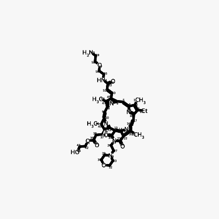 CCC1=C(C)c2cc3[nH]c(cc4nc(c5c6[nH]c(cc1n2)c(C)c6C(=O)N(CCN1CCOCC1)C5=O)[C@@H](CCC(=O)OCCO)[C@@H]4C)c(C)c3/C=C/C(=O)NCCOCCN